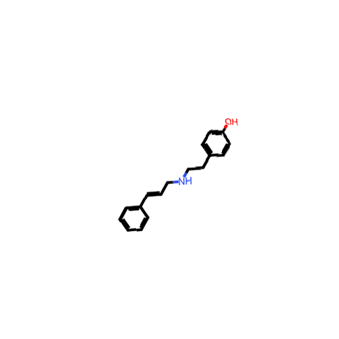 Oc1ccc(CCNCC=Cc2ccccc2)cc1